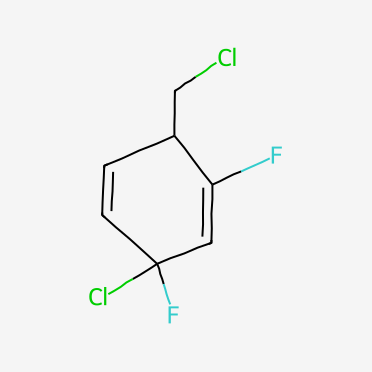 FC1=CC(F)(Cl)C=CC1CCl